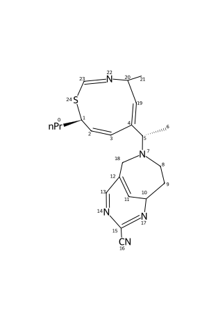 CCC[C@@H]1/C=C\C([C@H](C)N2CCC3C=C(C=NC(C#N)=N3)C2)=C/C(C)/N=C\S1